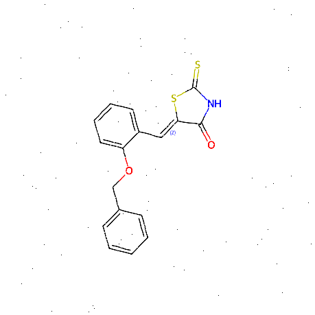 O=C1NC(=S)S/C1=C\c1ccccc1OCc1ccccc1